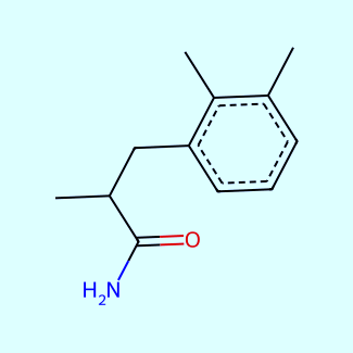 Cc1cccc(CC(C)C(N)=O)c1C